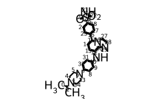 CC(C)N1CCN(c2ccc(Nc3ccc(-c4ccc(S(N)(=O)=O)cc4)n4ccnc34)cc2)CC1